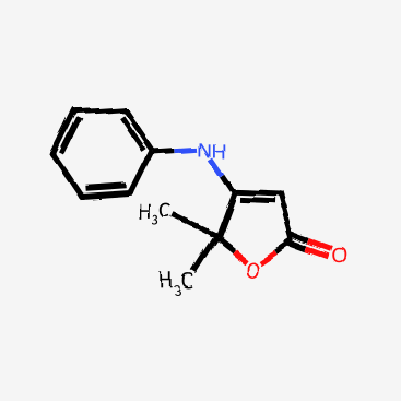 CC1(C)OC(=O)C=C1Nc1ccccc1